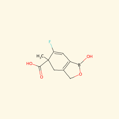 CC1(C(=O)O)CC2=C(C=C1F)B(O)OC2